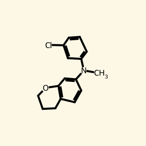 CN(c1cccc(Cl)c1)c1ccc2c(c1)OCCC2